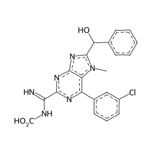 Cn1c(C(O)c2ccccc2)nc2nc(C(=N)NC(=O)O)nc(-c3cccc(Cl)c3)c21